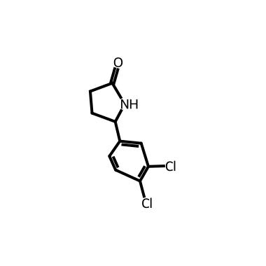 O=C1CCC(c2ccc(Cl)c(Cl)c2)N1